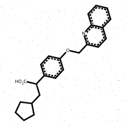 O=C(O)C(CC1CCCC1)c1ccc(OCc2ccc3ccccc3n2)cc1